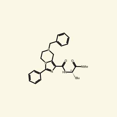 CNC(=O)[C@@H](NC(=O)c1nc(-c2ccccc2)n2c1CN(Cc1ccccc1)CC2)C(C)(C)C